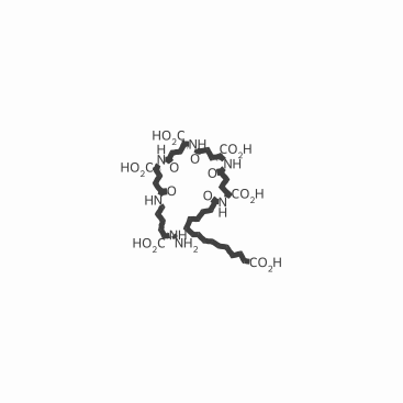 NN[C@@H](CCCCNC(=O)CC[C@H](NC(=O)CC[C@H](NC(=O)CC[C@H](NC(=O)CC[C@H](NC(=O)CCCCCCCCCCCCCCC(=O)O)C(=O)O)C(=O)O)C(=O)O)C(=O)O)C(=O)O